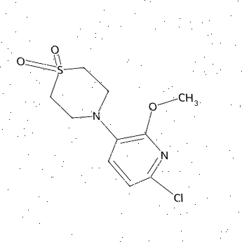 COc1nc(Cl)ccc1N1CCS(=O)(=O)CC1